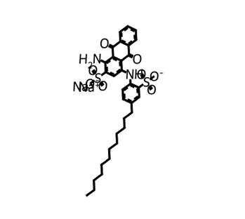 CCCCCCCCCCCCc1ccc(Nc2cc(S(=O)(=O)[O-])c(N)c3c2C(=O)c2ccccc2C3=O)c(S(=O)(=O)[O-])c1.[Na+].[Na+]